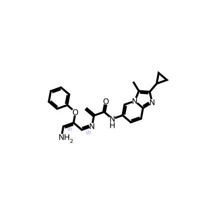 C=C(/N=C\C(=C/N)Oc1ccccc1)C(=O)Nc1ccc2nc(C3CC3)c(C)n2c1